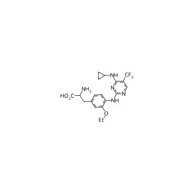 CCOc1cc(CC(N)C(=O)O)ccc1Nc1ncc(C(F)(F)F)c(NC2CC2)n1